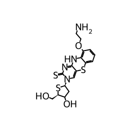 NCCOc1cccc2c1Nc1nc(=S)n([C@H]3CC(O)[C@@H](CO)S3)cc1S2